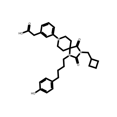 O=C(O)Cc1cccc(N2CCC3(CC2)C(=O)N(CC2CCC2)C(=O)N3CCCCc2ccc(O)cc2)c1